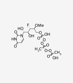 CO[C@@H](COP(=O)(O)OOP(C)(=O)OOP(C)(=O)O)[C@@H](F)[C@@H](O)[C@@H](O)n1ccc(=O)[nH]c1=O